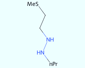 CCCNNCCSC